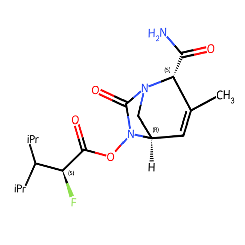 CC1=C[C@@H]2CN(C(=O)N2OC(=O)[C@@H](F)C(C(C)C)C(C)C)[C@@H]1C(N)=O